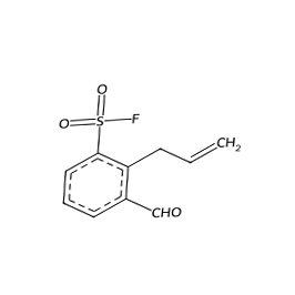 C=CCc1c(C=O)cccc1S(=O)(=O)F